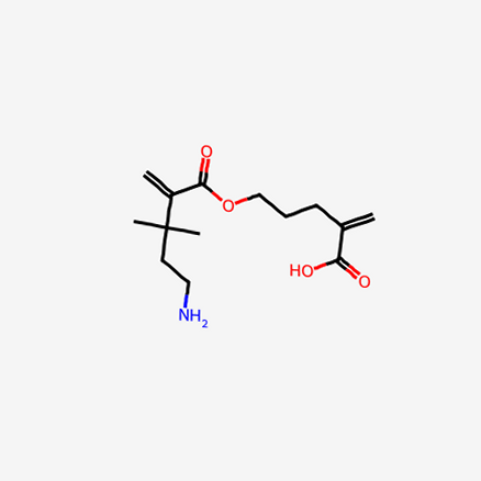 C=C(CCCOC(=O)C(=C)C(C)(C)CCN)C(=O)O